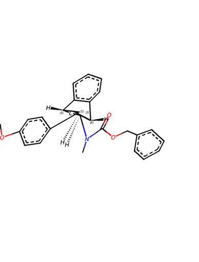 COc1ccc([C@H]2C[C@@H]3c4ccccc4[C@H]2C[C@@H]3N(C)C(=O)OCc2ccccc2)cc1